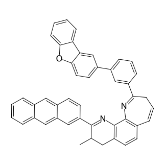 CC1Cc2ccc3c(c2N=C1c1ccc2cc4ccccc4cc2c1)N=C(c1cccc(-c2ccc4oc5ccccc5c4c2)c1)CC=C3